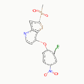 CS(=O)(=O)c1cc2nccc(Oc3ccc([N+](=O)[O-])cc3F)c2s1